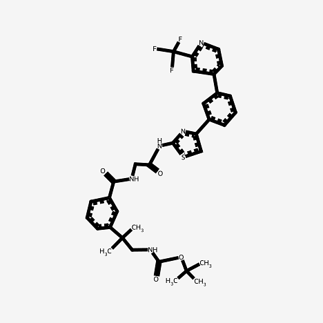 CC(C)(C)OC(=O)NCC(C)(C)c1cccc(C(=O)NCC(=O)Nc2nc(-c3cccc(-c4ccnc(C(F)(F)F)c4)c3)cs2)c1